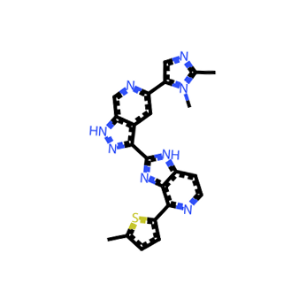 Cc1ccc(-c2nccc3[nH]c(-c4n[nH]c5cnc(-c6cnc(C)n6C)cc45)nc23)s1